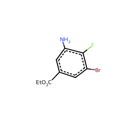 CCOC(=O)c1cc(N)c(F)c(Br)c1